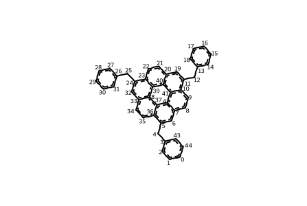 c1ccc(Cc2cc3ccc4c(Cc5ccccc5)cc5ccc6c(Cc7ccccc7)cc7ccc2c2c7c6c5c4c32)cc1